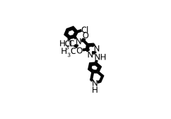 CC1(C)Oc2nc(Nc3ccc4c(c3)CCNC4)ncc2C(=O)N1c1c(Cl)cccc1Cl